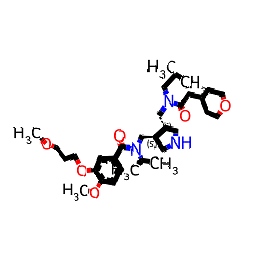 COCCCOc1cc(C(=O)N(C[C@@H]2CNC[C@H]2CN(CC(C)C)C(=O)CC2CCOCC2)C(C)C)ccc1OC